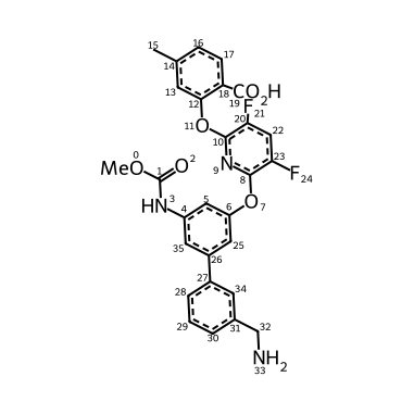 COC(=O)Nc1cc(Oc2nc(Oc3cc(C)ccc3C(=O)O)c(F)cc2F)cc(-c2cccc(CN)c2)c1